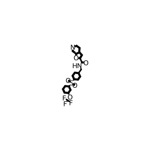 O=C(NCc1ccc(S(=O)(=O)c2cccc(OC(F)(F)F)c2)cc1)c1cc2ccncc2o1